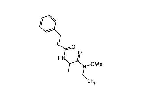 CON(CC(F)(F)F)C(=O)C(C)NC(=O)OCc1ccccc1